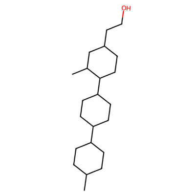 CC1CCC(C2CCC(C3CCC(CCO)CC3C)CC2)CC1